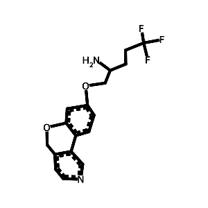 NC(CCC(F)(F)F)COc1ccc2c(c1)OCc1ccncc1-2